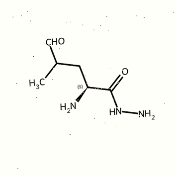 CC(C=O)C[C@H](N)C(=O)NN